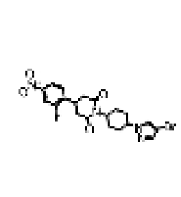 O=C1CC(c2ccc([N+](=O)[O-])cc2F)CC(=O)N1C1CCC(n2cc(Br)cn2)CC1